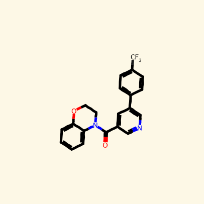 O=C(c1cncc(-c2ccc(C(F)(F)F)cc2)c1)N1CCOc2ccccc21